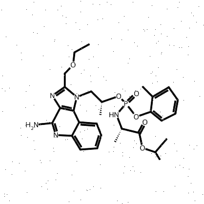 CCOCc1nc2c(N)nc3ccccc3c2n1C[C@@H](C)OP(=O)(N[C@@H](C)C(=O)OC(C)C)Oc1ccccc1C